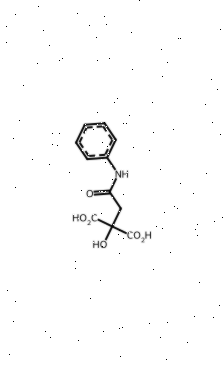 O=C(CC(O)(C(=O)O)C(=O)O)Nc1ccccc1